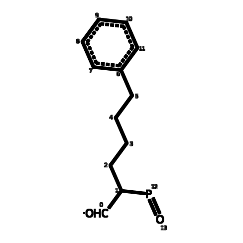 O=[C]C(CCCCc1ccccc1)P=O